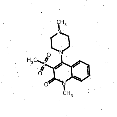 CN1CCN(c2c(S(C)(=O)=O)c(=O)n(C)c3ccccc23)CC1